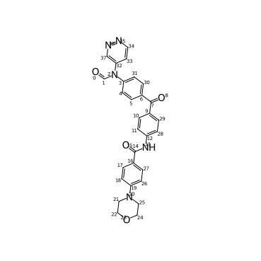 O=CN(c1ccc(C(=O)c2ccc(NC(=O)c3ccc(N4CCOCC4)cc3)cc2)cc1)c1ccnnc1